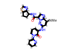 CNc1cc(Nc2cccn(-c3ccccn3)c2=O)nn2c(C(=O)NC3CCc4scnc43)cnc12